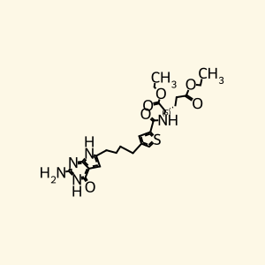 CCOC(=O)CC[C@H](NC(=O)c1cc(CCCCc2cc3c(=O)[nH]c(N)nc3[nH]2)cs1)C(=O)OCC